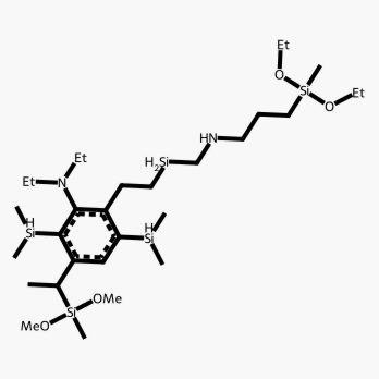 CCO[Si](C)(CCCNC[SiH2]CCc1c([SiH](C)C)cc(C(C)[Si](C)(OC)OC)c([SiH](C)C)c1N(CC)CC)OCC